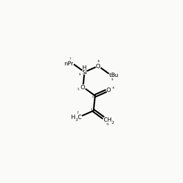 C=C(C)C(=O)O[SiH](CCC)OC(C)(C)C